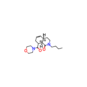 CCCCN1CC[C@H]2C=CCC(C(=O)N3CCOCC3)[C@H]2C1=O